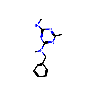 CNc1nc(C)nc(N(C)Cc2ccccc2)n1